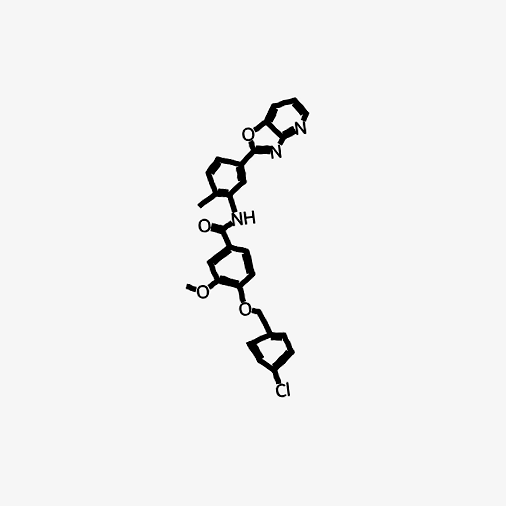 COc1cc(C(=O)Nc2cc(-c3nc4ncccc4o3)ccc2C)ccc1OCc1ccc(Cl)cc1